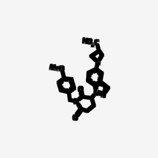 COc1ccc(CN2C(=O)CCC(n3ncc4cc(N5CC(C(=O)O)C5)ccc43)C2=O)cc1